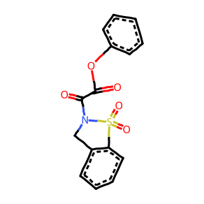 O=C(Oc1ccccc1)C(=O)N1Cc2ccccc2S1(=O)=O